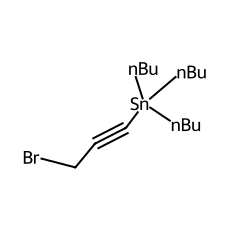 CCC[CH2][Sn]([C]#CCBr)([CH2]CCC)[CH2]CCC